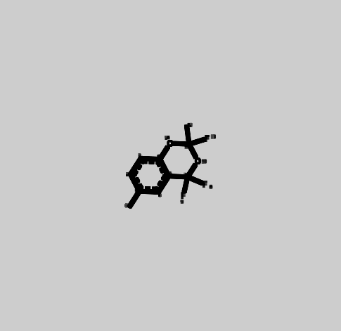 Cc1ccc2c(c1)C(F)(F)OC(C)(F)O2